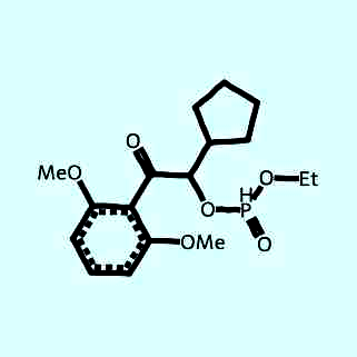 CCO[PH](=O)OC(C(=O)c1c(OC)cccc1OC)C1CCCC1